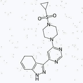 O=S(=O)(C1CC1)N1CCN(c2cc(-c3n[nH]c4c3CCC=C4)ncn2)CC1